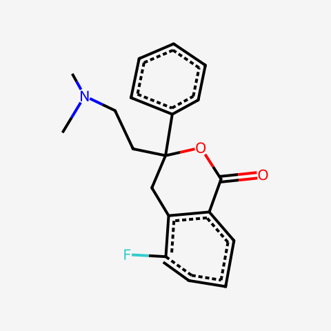 CN(C)CCC1(c2ccccc2)Cc2c(F)cccc2C(=O)O1